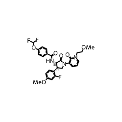 COCCn1cccc(N2C[C@@H](c3ccc(OC)cc3F)[C@H](NC(=O)c3ccc(OC(F)F)cc3)C2=O)c1=O